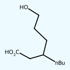 CCCCC(CCCO)CC(=O)O